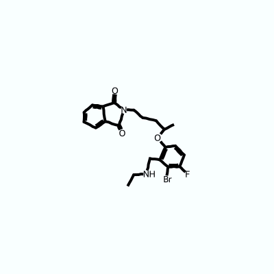 CCNCc1c(OC(C)CCCN2C(=O)c3ccccc3C2=O)ccc(F)c1Br